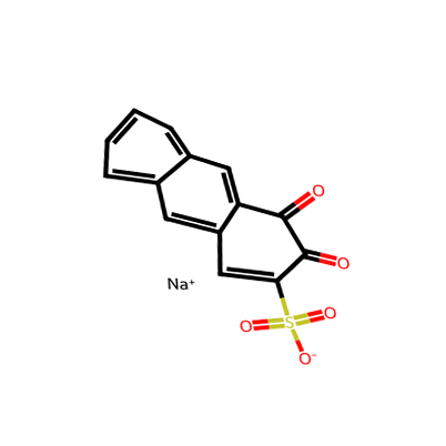 O=C1C(=O)c2cc3ccccc3cc2C=C1S(=O)(=O)[O-].[Na+]